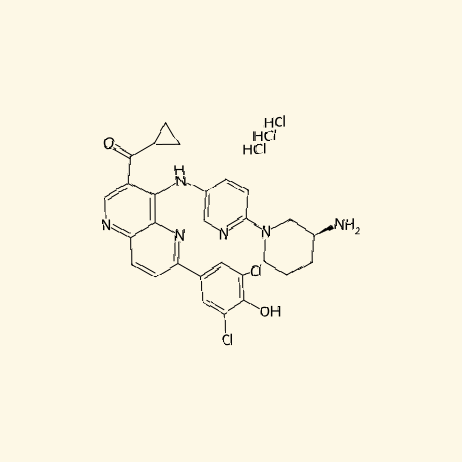 Cl.Cl.Cl.N[C@H]1CCCN(c2ccc(Nc3c(C(=O)C4CC4)cnc4ccc(-c5cc(Cl)c(O)c(Cl)c5)nc34)cn2)C1